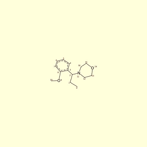 CCC(c1ccccc1OC)N1CCOCC1